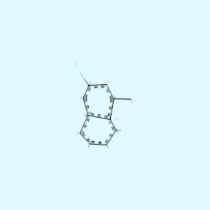 [CH2]c1cc(F)cc2ccccc12